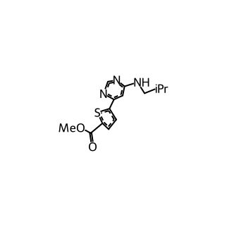 COC(=O)c1ccc(-c2cc(NCC(C)C)ncn2)s1